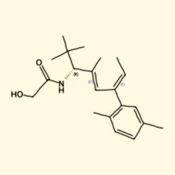 C/C=C(\C=C(/C)[C@H](NC(=O)CO)C(C)(C)C)c1cc(C)ccc1C